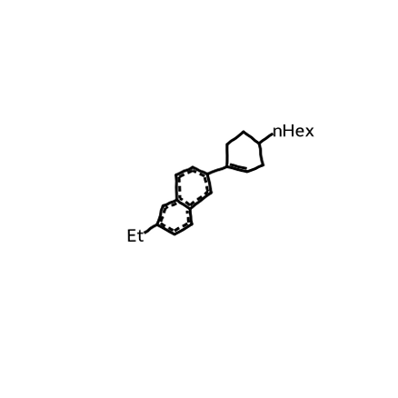 CCCCCCC1CC=C(c2ccc3cc(CC)ccc3c2)CC1